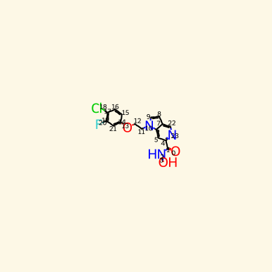 O=C(NO)c1cc2c(ccn2CCOc2ccc(Cl)c(F)c2)cn1